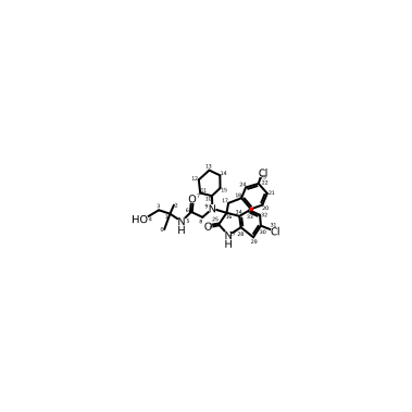 CC(C)(CO)NC(=O)CN(C1CCCCC1)C1(Cc2cccc(Cl)c2)C(=O)Nc2cc(Cl)ccc21